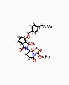 CNCc1ccc(COc2cccc3c2C(=O)N(C2CCC(=O)N(C(=O)OC(C)(C)C)C2=O)C3=O)cc1